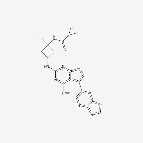 COc1nc(NC2CC(C)(NC(=O)C3CC3)C2)nn2ccc(-c3cnc4nccn4c3)c12